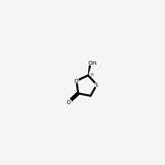 O=C1CS[C@H](O)O1